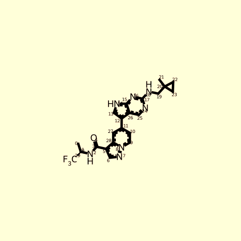 C[C@@H](NC(=O)c1cnn2ccc(-c3c[nH]c4nc(NCC5(C)CC5)ncc34)cc12)C(F)(F)F